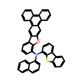 c1ccc2c(N(c3cccc4c3oc3cc5c6ccccc6c6ccccc6c5cc34)c3cccc4c3sc3ccccc34)cccc2c1